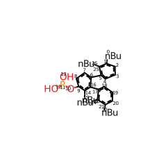 CCCCc1cccc(-c2ccc(OP(O)O)c(CCCC)c2-c2cccc(CCCC)c2CCCC)c1CCCC